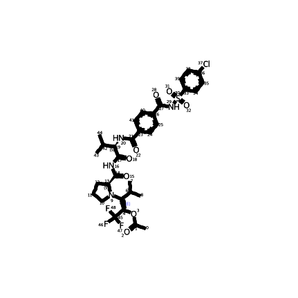 CC(=O)O/C(=C(\C(C)C)N1CCC[C@H]1C(=O)NC(=O)[C@@H](NC(=O)c1ccc(C(=O)NS(=O)(=O)c2ccc(Cl)cc2)cc1)C(C)C)C(F)(F)F